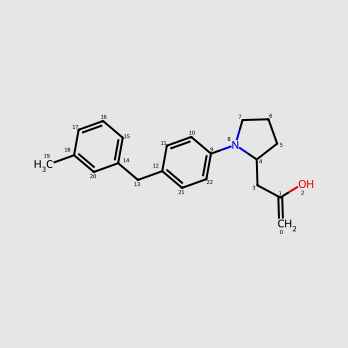 C=C(O)CC1CCCN1c1ccc(Cc2cccc(C)c2)cc1